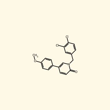 COc1ccc(-c2ccc(=O)n(Cc3ccc(Cl)c(Cl)c3)c2)cc1